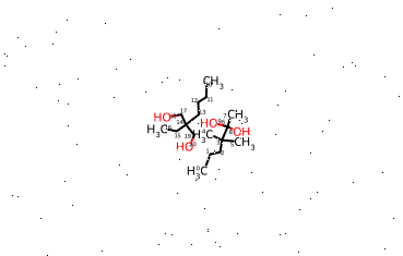 CCCC(C)(C)C(C)(O)O.CCCCC(CC)(CO)CO